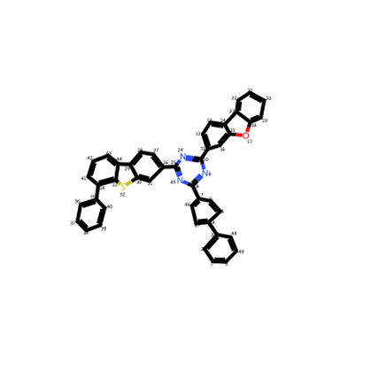 c1ccc(-c2ccc(-c3nc(-c4ccc5c(c4)oc4ccccc45)nc(-c4ccc5c(c4)sc4c(-c6ccccc6)cccc45)n3)cc2)cc1